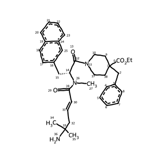 CCOC(=O)C1(Cc2ccccc2)CCN(C(=O)[C@@H](Cc2ccc3ccccc3c2)N(C)C(=O)C=CCC(C)(C)N)CC1